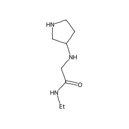 CCNC(=O)CNC1CCNC1